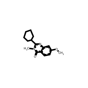 COc1ccc2c(=O)n(C)c(C3CCCCC3)nc2c1